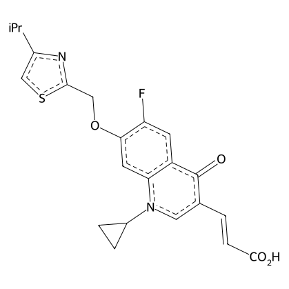 CC(C)c1csc(COc2cc3c(cc2F)c(=O)c(C=CC(=O)O)cn3C2CC2)n1